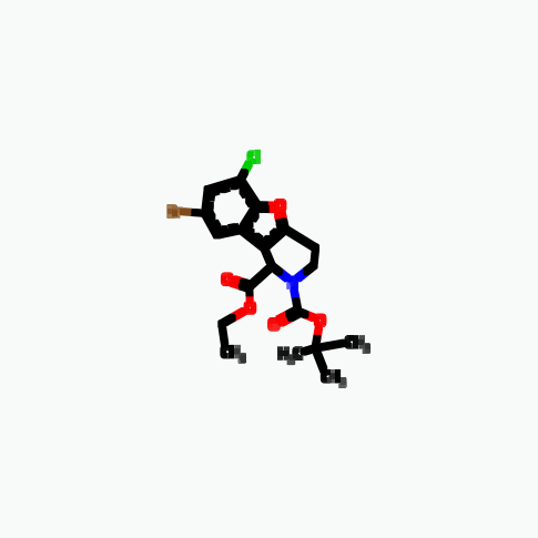 CCOC(=O)C1c2c(oc3c(Cl)cc(Br)cc23)CCN1C(=O)OC(C)(C)C